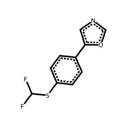 FC(F)Sc1ccc(-c2cnco2)cc1